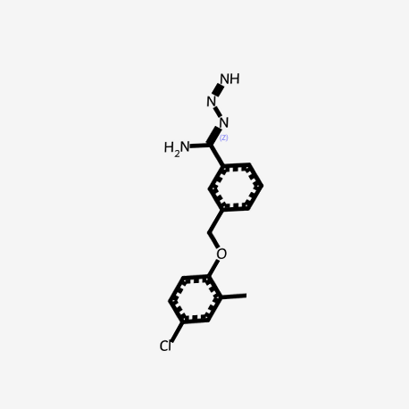 Cc1cc(Cl)ccc1OCc1cccc(/C(N)=N/N=N)c1